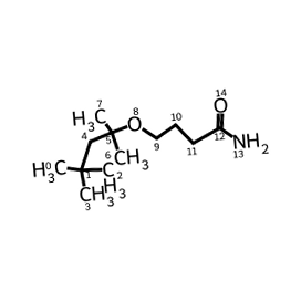 CC(C)(C)CC(C)(C)OCCCC(N)=O